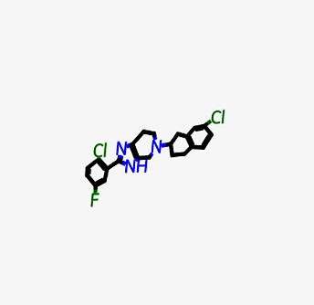 Fc1ccc(Cl)c(-c2nc3c([nH]2)CN(C2CCc4ccc(Cl)cc4C2)CC3)c1